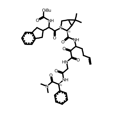 C=CCCC(NC(=O)[C@@H]1C2C(CN1C(=O)C(NC(=O)OCC(C)C)C1Cc3ccccc3C1)C2(C)C)C(=O)C(=O)NCC(=O)N[C@H](C(=O)N(C)C)c1ccccc1